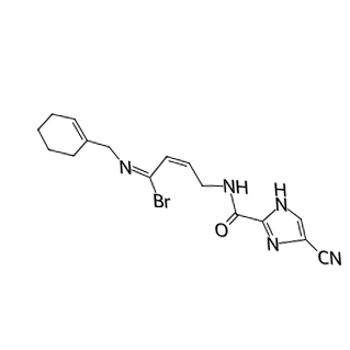 N#Cc1c[nH]c(C(=O)NC/C=C\C(Br)=N/CC2=CCCCC2)n1